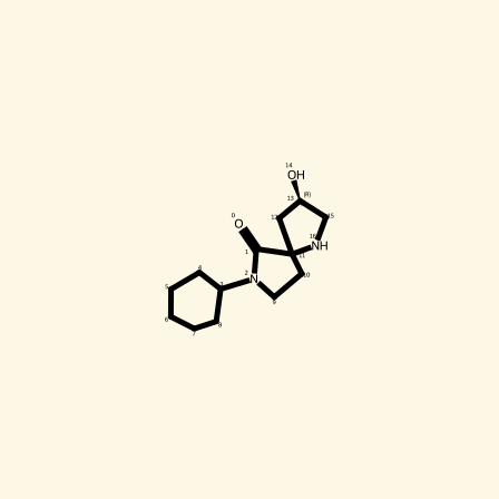 O=C1N(C2CCCCC2)CCC12C[C@@H](O)CN2